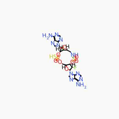 Nc1ncnc2c1ncn2[C@@H]1O[C@@H]2CO[P@@](=O)(S)O[C@@H]3[C@H](F)[C@@H](CNS(=O)(=O)O[C@H]2[C@H]1F)O[C@H]3n1cnc2c(N)ncnc21